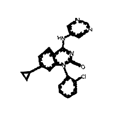 O=c1nc(Nc2cncnc2)c2ccc(C3CC3)cc2n1-c1ccccc1Cl